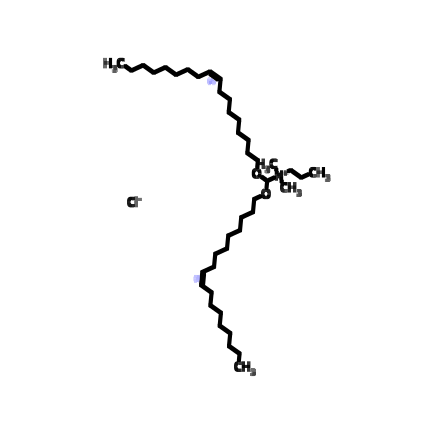 CCCCCCCC/C=C\CCCCCCCCOC(OCCCCCCCC/C=C\CCCCCCCC)[N+](C)(C)CCC.[Cl-]